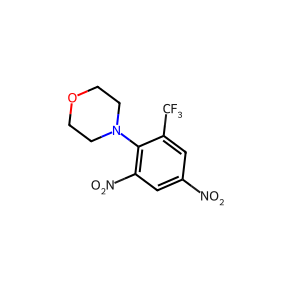 O=[N+]([O-])c1cc([N+](=O)[O-])c(N2CCOCC2)c(C(F)(F)F)c1